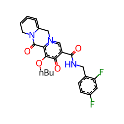 CCCCOc1c2n(cc(C(=O)NCc3ccc(F)cc3F)c1=O)CC1=C=C=CCN1C2=O